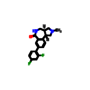 CN1C[C@@H]2CNC(=O)c3cc(-c4ccc(F)cc4F)ccc3[C@H]2C1